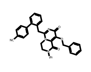 CC(C)N1CCn2c(Cc3ccccc3-c3ccc(C#N)cc3)nc(=O)c(OCc3ccccc3)c2C1=O